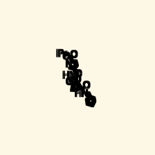 CC(C)OC(=O)c1ccc(C(=O)NS(=O)(=O)c2cccc(C(=O)NCc3ccccc3)c2)cn1